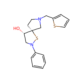 O[C@H]1CN(c2ccccc2)S[C@@]12CCN(Cc1cccs1)C2